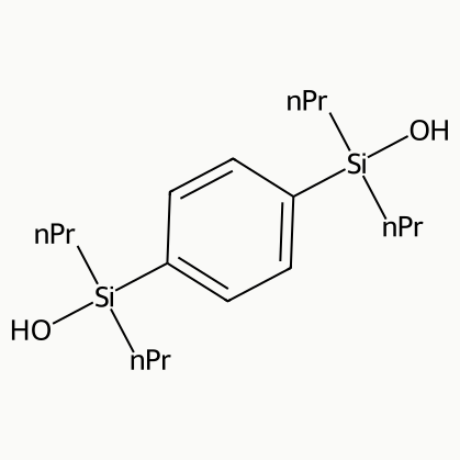 CCC[Si](O)(CCC)c1ccc([Si](O)(CCC)CCC)cc1